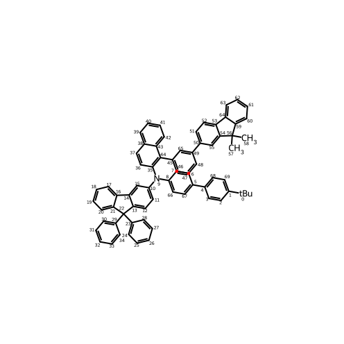 CC(C)(C)c1ccc(-c2ccc(N(c3ccc4c(c3)-c3ccccc3C4(c3ccccc3)c3ccccc3)c3ccc4ccccc4c3-c3cccc(-c4ccc5c(c4)C(C)(C)c4ccccc4-5)c3)cc2)cc1